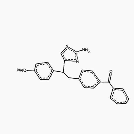 COc1ccc(C(Cc2ccc(C(=O)c3ccccc3)cc2)c2csc(N)n2)cc1